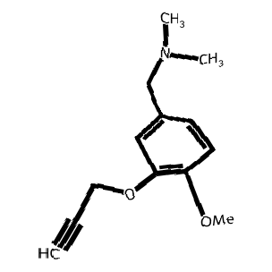 C#CCOc1cc(CN(C)C)ccc1OC